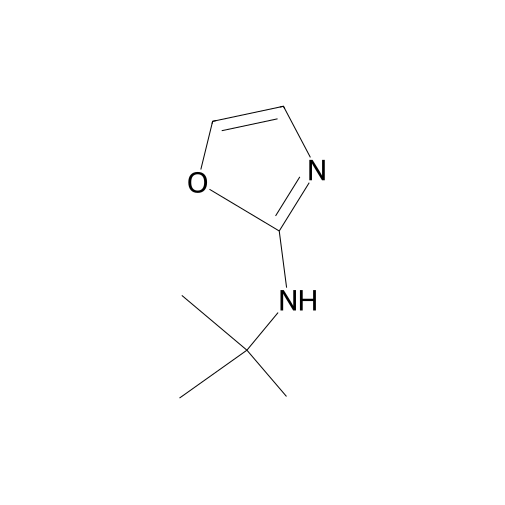 CC(C)(C)Nc1ncco1